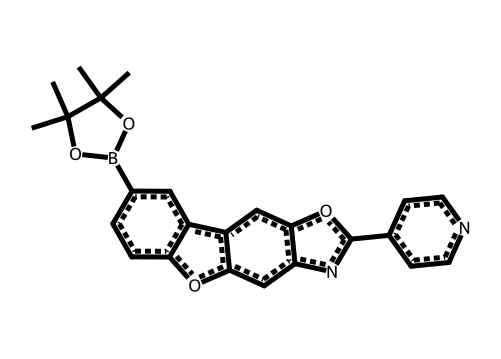 CC1(C)OB(c2ccc3oc4cc5nc(-c6ccncc6)oc5cc4c3c2)OC1(C)C